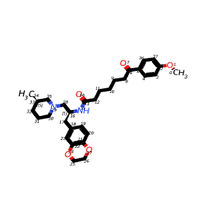 COc1ccc(C(=O)CCCCCC(=O)N[C@@H](Cc2ccc3c(c2)OCCO3)CN2CCC[C@H](C)C2)cc1